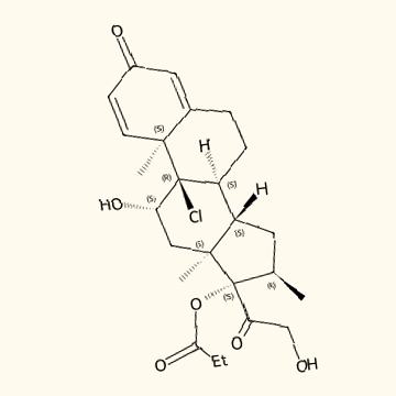 CCC(=O)O[C@@]1(C(=O)CO)[C@H](C)C[C@H]2[C@@H]3CCC4=CC(=O)C=C[C@]4(C)[C@@]3(Cl)[C@@H](O)C[C@@]21C